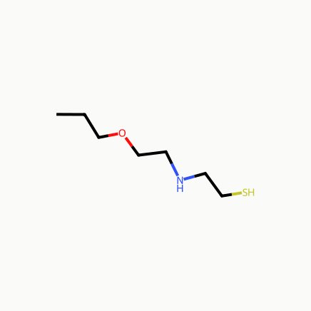 CCCOCCNCCS